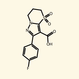 O=C(O)c1c(-c2ccc(F)cc2)nn2c1S(=O)(=O)CCC2